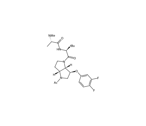 CN[C@@H](C)C(=O)N[C@H](C(=O)N1CC[C@@H]2[C@H]1[C@@H](Oc1ccc(F)c(F)c1)CN2C(C)=O)C(C)(C)C